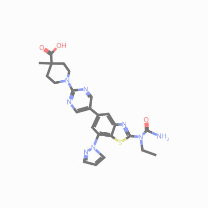 CCN(C(N)=O)c1nc2cc(-c3cnc(N4CCC(C)(C(=O)O)CC4)nc3)cc(-n3cccn3)c2s1